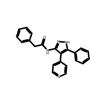 O=C(Cc1ccccc1)Nc1n[nH]c(-c2ccccc2)c1-c1ccncc1